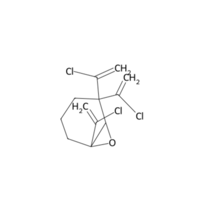 C=C(Cl)C12CCCC(C(=C)Cl)(C(=C)Cl)C1O2